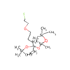 C[Si](C)(C)O[Si](C)(C)O[Si](C)(CCCOCCF)O[Si](C)(C)C